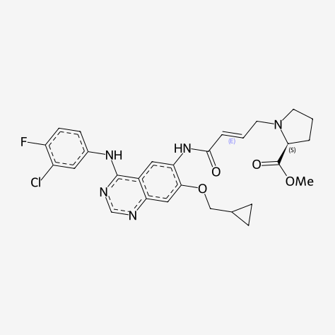 COC(=O)[C@@H]1CCCN1C/C=C/C(=O)Nc1cc2c(Nc3ccc(F)c(Cl)c3)ncnc2cc1OCC1CC1